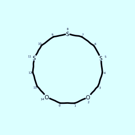 C1COCCSCCSCCSCCO1